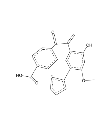 C=C(C(=O)c1ccc(C(=O)O)cc1)c1cc(-c2cccs2)c(OC)cc1O